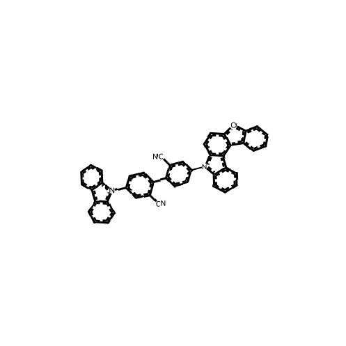 N#Cc1cc(-n2c3ccccc3c3ccccc32)ccc1-c1ccc(-n2c3ccccc3c3c4c(ccc32)oc2ccccc24)cc1C#N